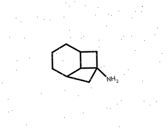 NC12CC3CCCC(C1)C32